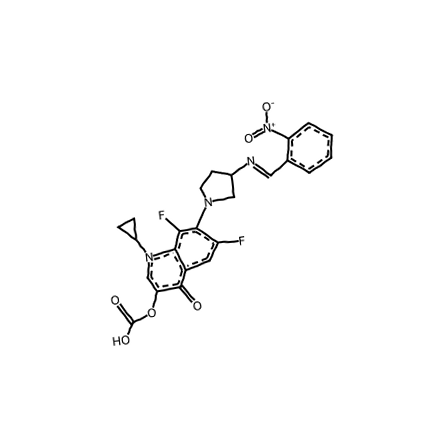 O=C(O)Oc1cn(C2CC2)c2c(F)c(N3CCC(N=Cc4ccccc4[N+](=O)[O-])C3)c(F)cc2c1=O